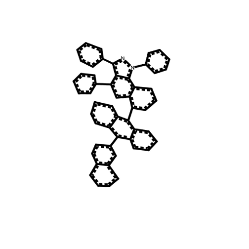 c1ccc(-c2cc3c(-c4c5ccccc5c(-c5ccc6ccccc6c5)c5ccccc45)cccc3c3c2c(-c2ccccc2)nn3-c2ccccc2)cc1